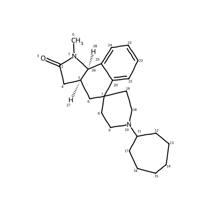 CN1C(=O)C[C@@H]2CC3(CCN(C4CCCCCC4)CC3)c3ccccc3[C@@H]21